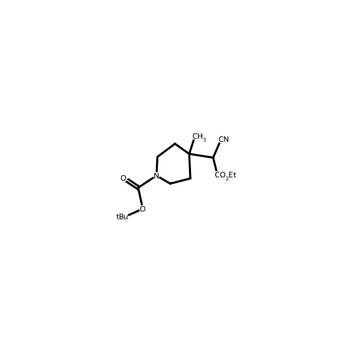 CCOC(=O)C(C#N)C1(C)CCN(C(=O)OC(C)(C)C)CC1